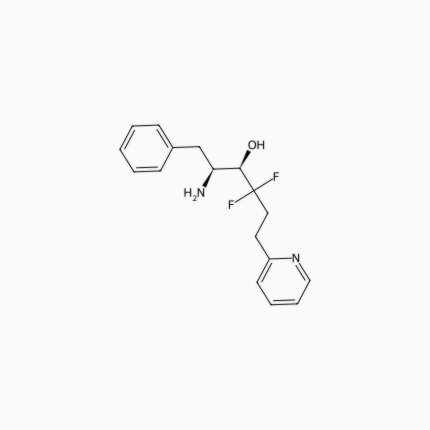 N[C@@H](Cc1ccccc1)[C@@H](O)C(F)(F)CCc1ccccn1